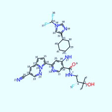 CC(C)(O)[C@H](F)CNC(=O)c1cnc(-c2ccc3cc(C#N)cnn23)cc1N[C@H]1CC[C@H](c2cn(C(F)F)cn2)CC1